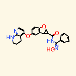 O=C(N/C(=N\O)c1ccccc1)C1C2Oc3ccc(Oc4ccnc5c4CCCN5)cc3C21